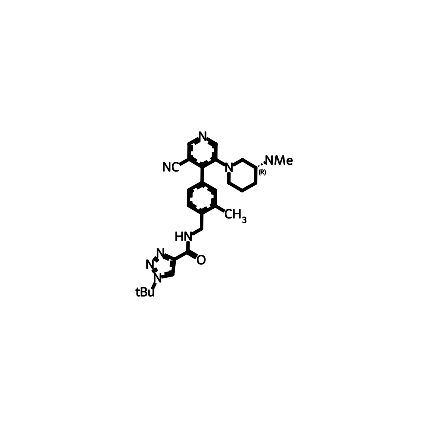 CN[C@@H]1CCCN(c2cncc(C#N)c2-c2ccc(CNC(=O)c3cn(C(C)(C)C)nn3)c(C)c2)C1